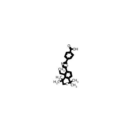 CCc1c(-c2cnc(-c3ccc(C(=O)O)cc3)s2)ccc2c1C(C)(C)CCC2(C)C